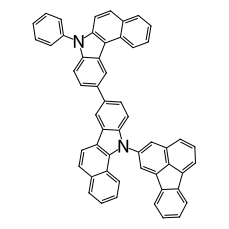 c1ccc(-n2c3ccc(-c4ccc5c(c4)c4ccc6ccccc6c4n5-c4cc5c6c(cccc6c4)-c4ccccc4-5)cc3c3c4ccccc4ccc32)cc1